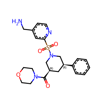 NCc1ccnc(S(=O)(=O)N2C[C@H](C(=O)N3CCOCC3)C[C@H](c3ccccc3)C2)c1